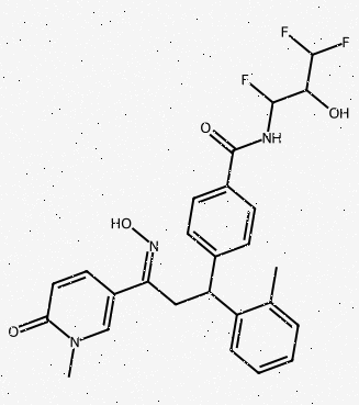 Cc1ccccc1C(CC(=NO)c1ccc(=O)n(C)c1)c1ccc(C(=O)NC(F)C(O)C(F)F)cc1